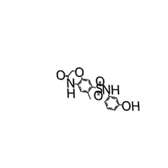 Cc1cc2c(cc1S(=O)(=O)Nc1cccc(O)c1)OCC(=O)N2